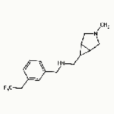 CN1CC2C(CNCc3cccc(CC(F)(F)F)c3)C2C1